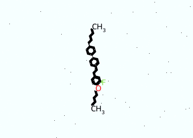 CCCCCCOc1ccc(CCC2=CCC([C@H]3CC[C@H](CCCCCC)CC3)CC2)cc1F